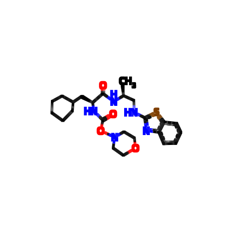 C[C@@H](CNc1nc2ccccc2s1)NC(=O)[C@H](CC1CCCCC1)NC(=O)ON1CCOCC1